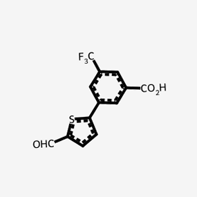 O=Cc1ccc(-c2cc(C(=O)O)cc(C(F)(F)F)c2)s1